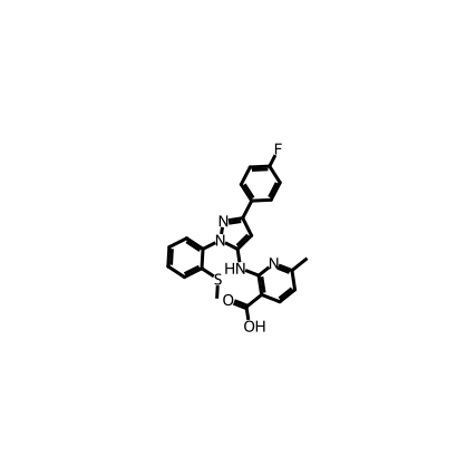 CSc1ccccc1-n1nc(-c2ccc(F)cc2)cc1Nc1nc(C)ccc1C(=O)O